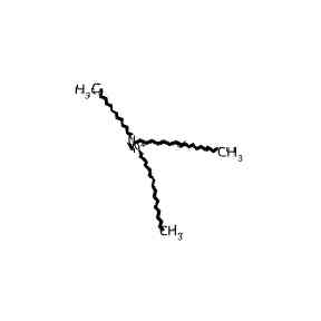 CCCCCCCCCCCCCCCCCCc1n(CCCCCCCCCCCCCC)cc[n+]1CCCCCCCCCCCCCCCCC